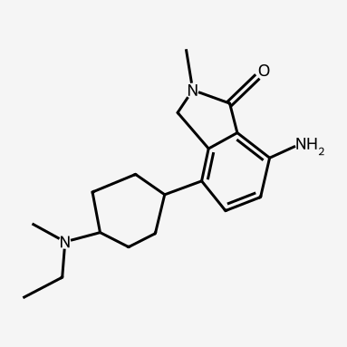 CCN(C)C1CCC(c2ccc(N)c3c2CN(C)C3=O)CC1